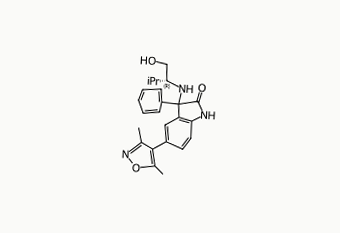 Cc1noc(C)c1-c1ccc2c(c1)C(N[C@@H](CO)C(C)C)(c1ccccc1)C(=O)N2